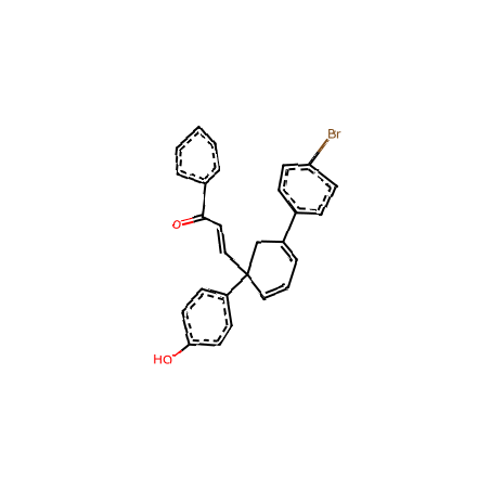 O=C(/C=C/C1(c2ccc(O)cc2)C=CC=C(c2ccc(Br)cc2)C1)c1ccccc1